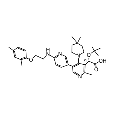 Cc1ccc(OCCNc2ccc(-c3cnc(C)c([C@H](OC(C)(C)C)C(=O)O)c3N3CCC(C)(C)CC3)cn2)c(C)c1